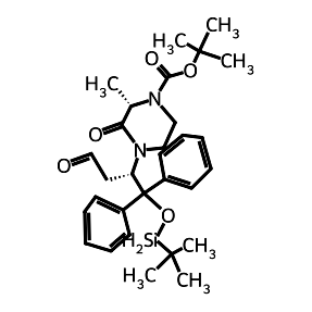 C[C@H]1C(=O)N([C@@H](CC=O)C(O[SiH2]C(C)(C)C)(c2ccccc2)c2ccccc2)CCN1C(=O)OC(C)(C)C